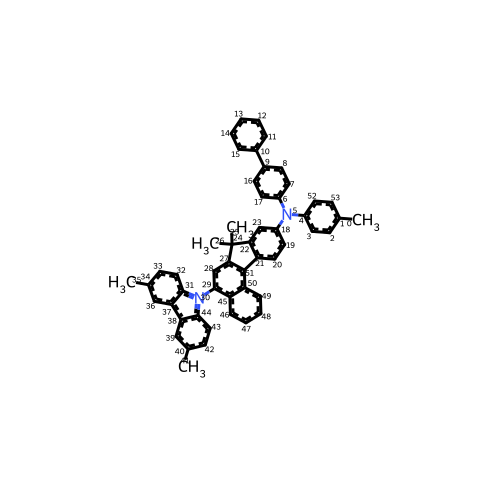 Cc1ccc(N(c2ccc(-c3ccccc3)cc2)c2ccc3c(c2)C(C)(C)c2cc(-n4c5ccc(C)cc5c5cc(C)ccc54)c4ccccc4c2-3)cc1